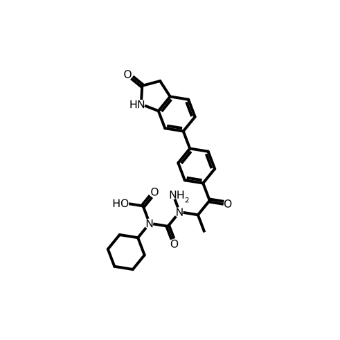 CC(C(=O)c1ccc(-c2ccc3c(c2)NC(=O)C3)cc1)N(N)C(=O)N(C(=O)O)C1CCCCC1